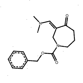 CN(C)/C=C1\CN(C(=O)OCc2ccccc2)CCCC1=O